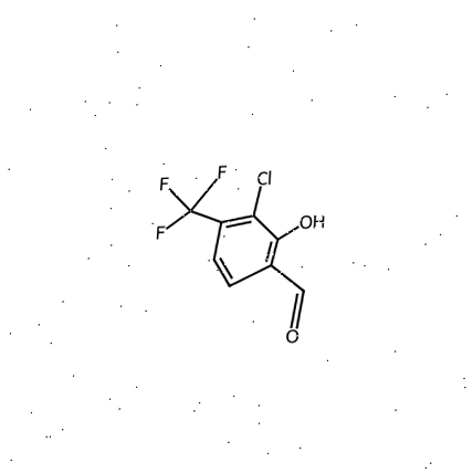 O=Cc1ccc(C(F)(F)F)c(Cl)c1O